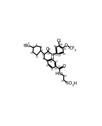 CC(C)(C)C1CCC(C(Cc2ccc(C(=O)NCCS(=O)(=O)O)cc2)C(=O)Nc2ccc(OC(F)(F)F)c(Cl)c2)CC1